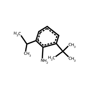 CC(C)c1cccc(C(C)(C)C)c1N